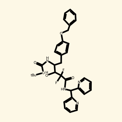 CC(C)(C)OC(=O)NC(Cc1ccc(OCc2ccccc2)cc1)C(O)C(F)(F)C(=O)NC(c1ccccn1)c1ccccn1